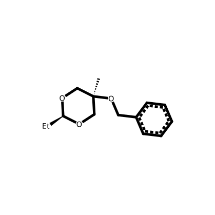 CC[C@H]1OC[C@@](C)(OCc2ccccc2)CO1